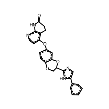 O=C1CCc2c(Oc3ccc4c(c3)OC(c3ncc(-c5ccccc5)[nH]3)CO4)ccnc2N1